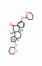 C[C@]12CC[C@@H]3c4ccc(OC5CCCCO5)cc4C(=O)C[C@H]3[C@@H]1CC[C@@H]2OC1CCCCO1